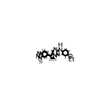 CCO[C@H]1CC[C@H](Nc2ncc3c(-c4ccc5nnn(C)c5c4)ccn3n2)CC1